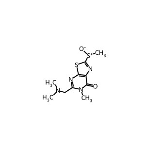 CN(C)Cc1nc2sc([S+](C)[O-])nc2c(=O)n1C